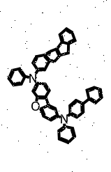 c1ccc(-c2ccc(N(c3ccccc3)c3ccc4oc5cc(N(c6ccccc6)c6ccc7c(c6)C6SC7C7=C6Cc6ccccc67)ccc5c4c3)cc2)cc1